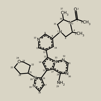 CC(=O)N1C(C)CN(c2cncc(-c3cc(-c4ccnn4C4CCOCC4)c4c(N)ncnn34)c2)CC1C